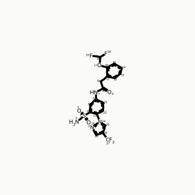 NS(=O)(=O)c1cc(NC(=O)Cc2ccccc2OC(F)F)ccc1-n1cc(C(F)(F)F)cn1